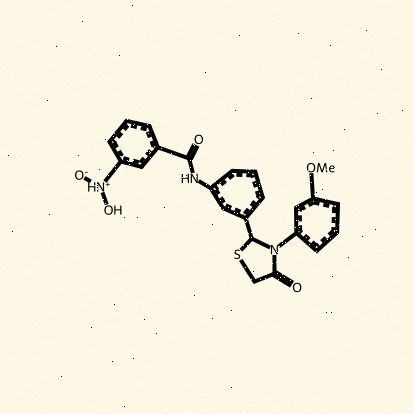 COc1cccc(N2C(=O)CSC2c2cccc(NC(=O)c3cccc([NH+]([O-])O)c3)c2)c1